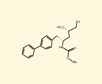 CC(C)(C)OC(=O)N[C@H](Cc1ccc(-c2ccccc2)cc1)C[C@@H](CO)C(=O)O